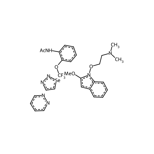 CC(=O)Nc1ccccc1OC(F)(F)F.COc1cc2ccccc2n1OCCN(C)C.c1c[se]nn1.c1ccnnc1